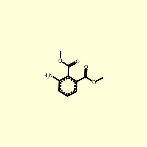 COC(=O)c1cccc(N)c1C(=O)OC